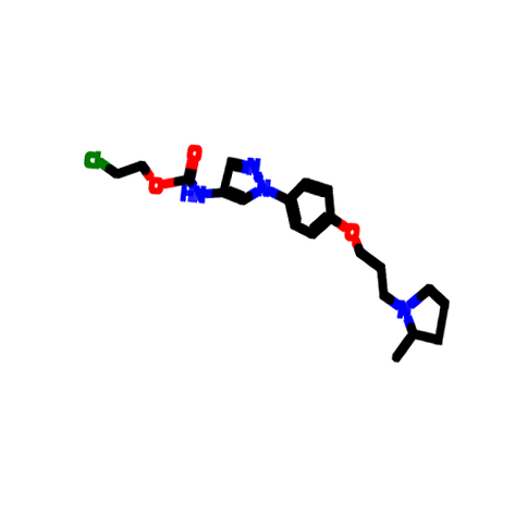 CC1CCCN1CCCOc1ccc(-n2cc(NC(=O)OCCCl)cn2)cc1